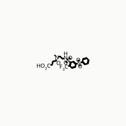 CN(CCNS(=O)(=O)c1cc(S(=O)(=O)c2ccccc2)ccc1C(F)(F)F)C(=O)CCC(=O)O